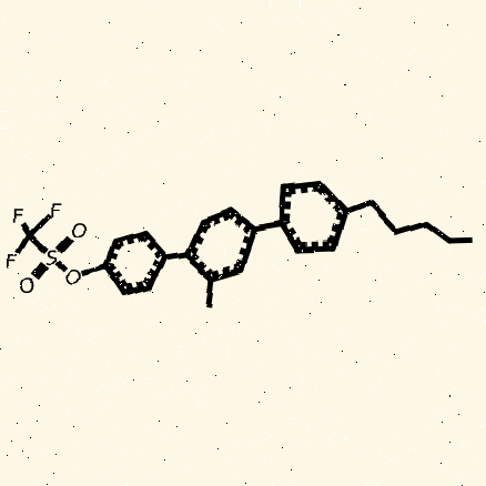 CCCCCc1ccc(-c2ccc(-c3ccc(OS(=O)(=O)C(F)(F)F)cc3)c(C)c2)cc1